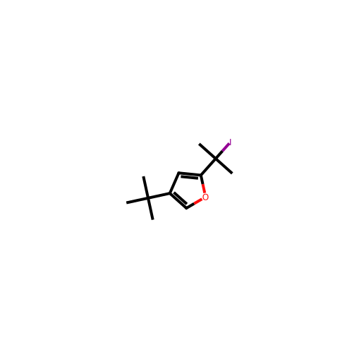 CC(C)(C)c1coc(C(C)(C)I)c1